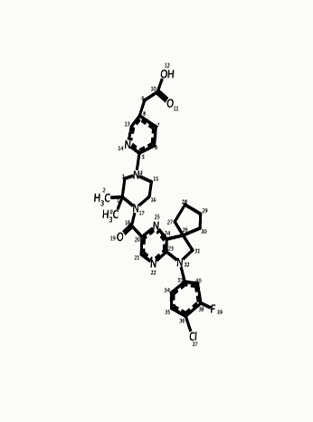 CC1(C)CN(c2ccc(CC(=O)O)cn2)CCN1C(=O)c1cnc2c(n1)C1(CCCC1)CN2c1ccc(Cl)c(F)c1